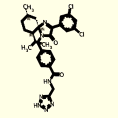 CC(C)[C@H]1CC[C@H](C)C[C@@]12N=C(c1cc(Cl)cc(Cl)c1)C(=O)N2Cc1ccc(C(=O)NCc2nn[nH]n2)cc1